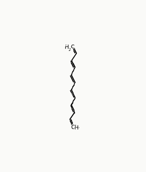 [CH]=CC=CC=CC=CC=CC=C